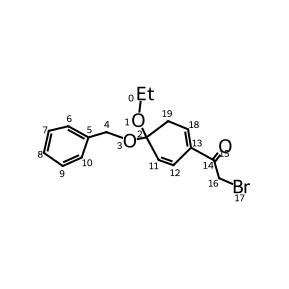 CCOC1(OCc2ccccc2)C=CC(C(=O)CBr)=CC1